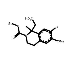 CCOC(=O)CC1(C)c2cc(Br)c(OC)cc2CCN1C(=O)OC(C)(C)C